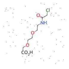 O=C(O)COCCOCCNC(=O)CCl